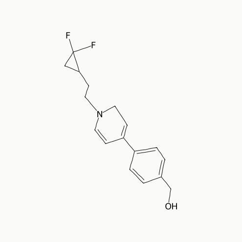 OCc1ccc(C2=CCN(CCC3CC3(F)F)C=C2)cc1